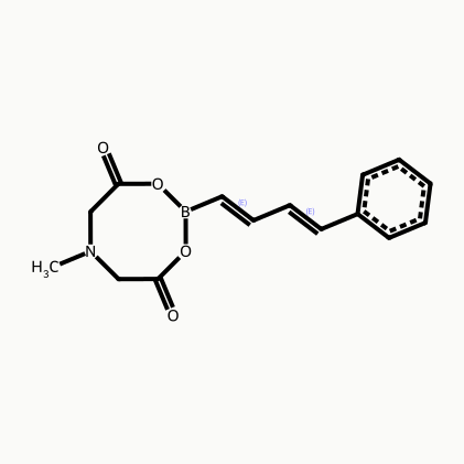 CN1CC(=O)OB(/C=C/C=C/c2ccccc2)OC(=O)C1